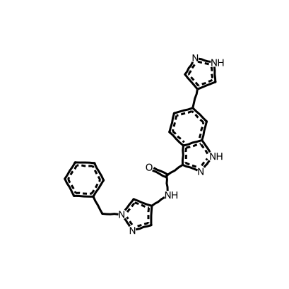 O=C(Nc1cnn(Cc2ccccc2)c1)c1n[nH]c2cc(-c3cn[nH]c3)ccc12